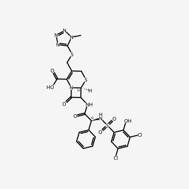 Cn1nnnc1SCC1=C(C(=O)O)N2C(=O)C(NC(=O)[C@@H](NS(=O)(=O)c3cc(Cl)cc(Cl)c3O)c3ccccc3)[C@@H]2SC1